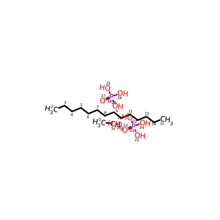 CC.CCCCCCCCCCCCCC.O.O=P(O)(O)O.O=P(O)(O)O